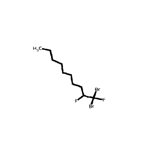 CCCCCCCCC(F)C(F)(Br)Br